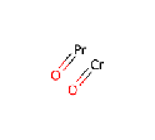 [O]=[Cr].[O]=[Pr]